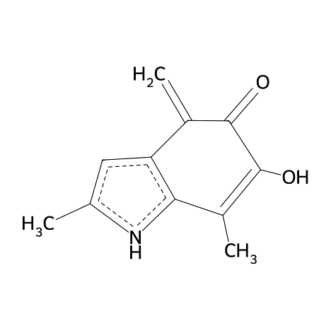 C=C1C(=O)C(O)=C(C)c2[nH]c(C)cc21